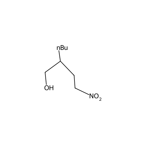 CCCCC(CO)CC[N+](=O)[O-]